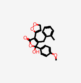 COc1ccc(C2(O)OC(=O)C(C3=CCOO3)=C2Cc2ccccc2C)cc1